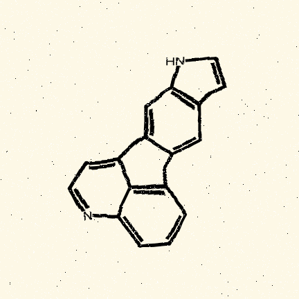 c1cc2c3c(ccnc3c1)-c1cc3[nH]ccc3cc1-2